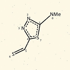 CNc1nnc([C]=S)s1